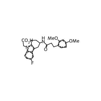 COc1ccc(CCC(=O)NC2CCc3c(c4cc(F)ccc4n3CC(=O)O)C2)c(OC)c1